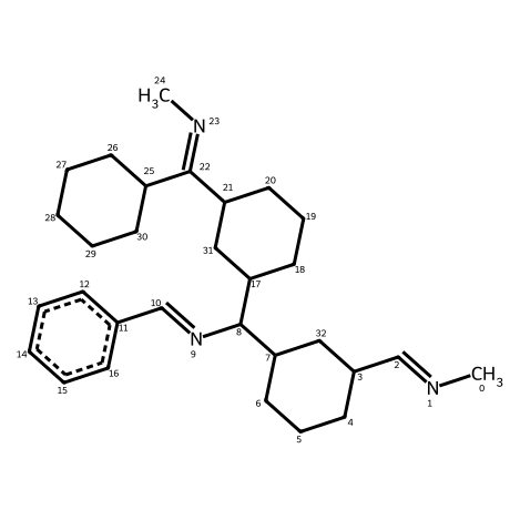 C/N=C/C1CCCC(C(/N=C/c2ccccc2)C2CCCC(/C(=N/C)C3CCCCC3)C2)C1